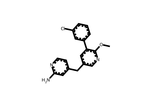 COc1ncc(Cc2ccnc(N)c2)cc1-c1cccc(Cl)c1